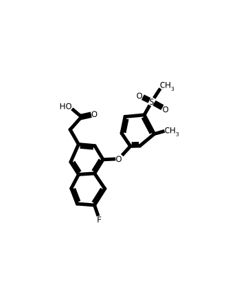 Cc1cc(Oc2cc(CC(=O)O)cc3ccc(F)cc23)ccc1S(C)(=O)=O